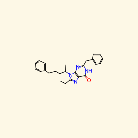 CCc1nc2c(=O)[nH]c(Cc3ccccc3)nc2n1C(C)CCCc1ccccc1